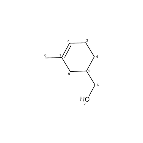 CC1=CCCC(CO)C1